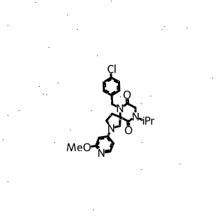 COc1cc(N2CCC3(C2)C(=O)N(C(C)C)CC(=O)N3Cc2ccc(Cl)cc2)ccn1